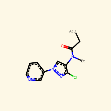 CCN(C(=O)COC(C)=O)c1cn(-c2cccnc2)nc1Cl